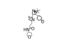 COc1ccc(-c2c(-c3nc(CCC(=O)NC4CCOCC4)cs3)cnn2C(C)(C)C)cc1